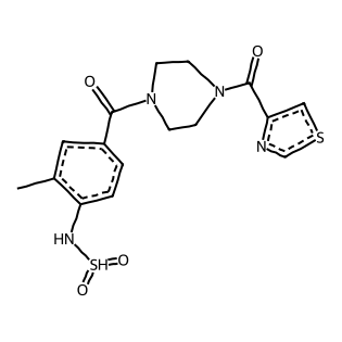 Cc1cc(C(=O)N2CCN(C(=O)c3cscn3)CC2)ccc1N[SH](=O)=O